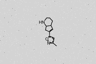 Cc1cc(C2=CC3CCCNC3C2)on1